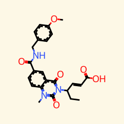 CCC(C=CC(=O)O)n1c(=O)c2cc(C(=O)NCc3ccc(OC)cc3)ccc2n(C)c1=O